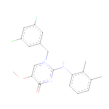 COc1cn(Cc2cc(F)cc(Cl)c2)c(Nc2cccc(C)c2C)nc1=O